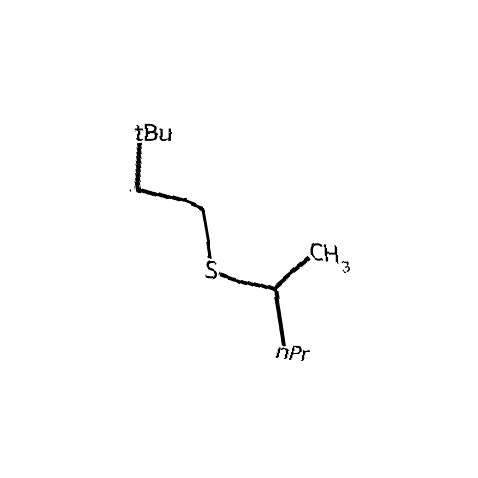 CCCC(C)SC[CH]C(C)(C)C